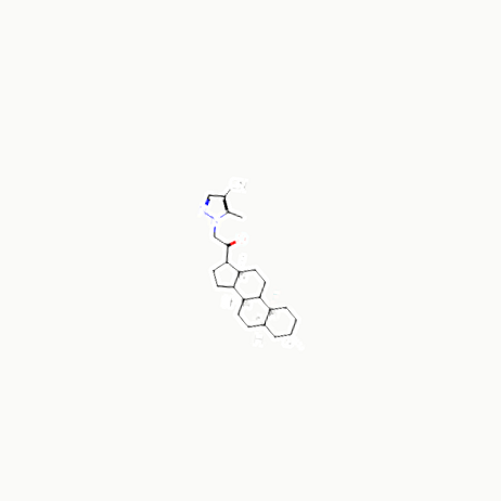 Cc1c(C#N)cnn1CC(=O)C1CCC2[C@@H]3CC[C@@H]4C[C@@H](C)CC[C@]4(F)C3CC[C@]12C